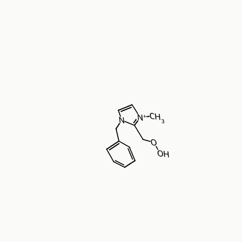 C[n+]1ccn(Cc2ccccc2)c1COO